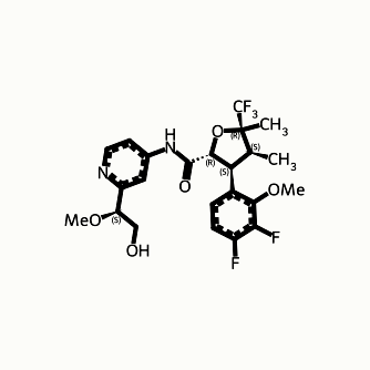 COc1c([C@H]2[C@H](C(=O)Nc3ccnc([C@@H](CO)OC)c3)O[C@@](C)(C(F)(F)F)[C@H]2C)ccc(F)c1F